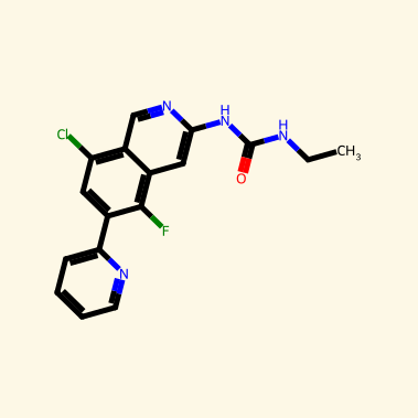 CCNC(=O)Nc1cc2c(F)c(-c3ccccn3)cc(Cl)c2cn1